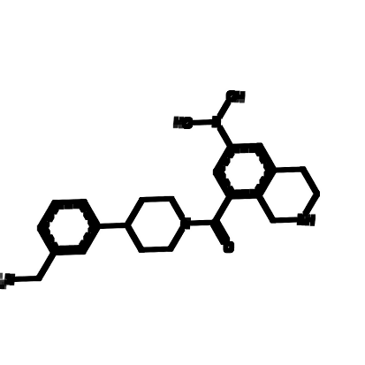 NCc1cccc(C2CCN(C(=O)c3cc(B(O)O)cc4c3CNCC4)CC2)c1